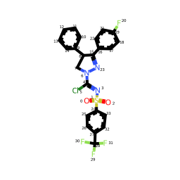 O=S(=O)(/N=C(\Cl)N1CC(c2ccccc2)C(c2ccc(F)cc2)=N1)c1ccc(C(F)(F)F)cc1